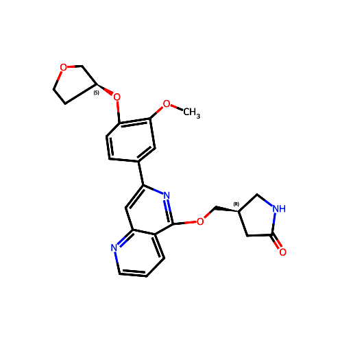 COc1cc(-c2cc3ncccc3c(OC[C@H]3CNC(=O)C3)n2)ccc1O[C@H]1CCOC1